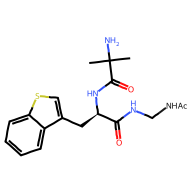 CC(=O)NCNC(=O)[C@@H](Cc1csc2ccccc12)NC(=O)C(C)(C)N